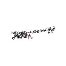 CC(C)[C@H](NC(=O)CCOCCOCCOCCOCCOCCOCCOCCOCCNC(=O)CCN1C(=O)C=CC1=O)C(=O)N(CCCN(C(=O)CO)[C@@H](c1nc(-c2cc(F)ccc2F)cn1Cc1ccccc1)C(C)(C)C)[C@@H](CCCNC(N)=O)C(N)=O